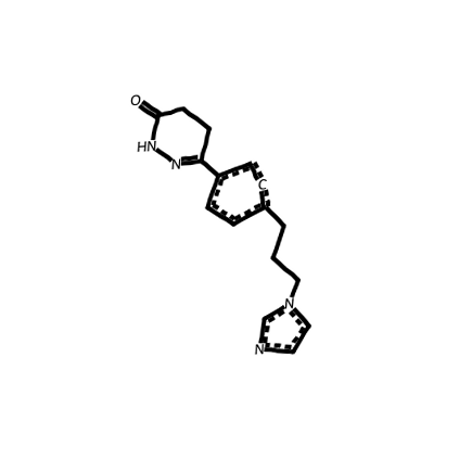 O=C1CCC(c2ccc(CCCn3ccnc3)cc2)=NN1